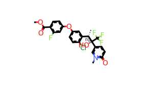 COC(=O)c1ccc(Oc2ccc(Cl)c([C@H](C)[C@](O)(c3ccc(=O)n(C)c3)C(F)(F)F)c2)cc1F